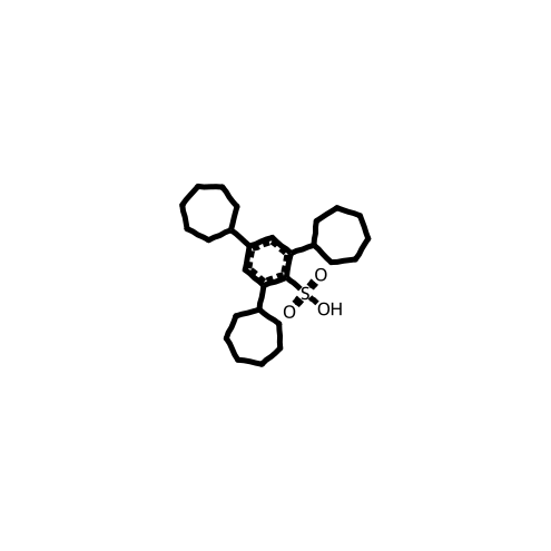 O=S(=O)(O)c1c(C2CCCCCC2)cc(C2CCCCCC2)cc1C1CCCCCC1